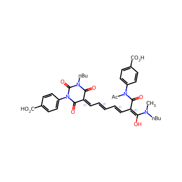 CCCCN1C(=O)\C(=C/C=C/C=C/C(C(=O)N(C(C)=O)c2ccc(C(=O)O)cc2)=C(\O)N(C)CCCC)C(=O)N(c2ccc(C(=O)O)cc2)C1=O